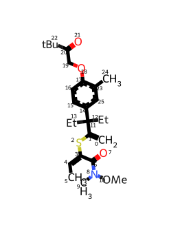 C=C(S/C(=C/C)C(=O)N(C)OC)C(CC)(CC)c1ccc(OCC(=O)C(C)(C)C)c(C)c1